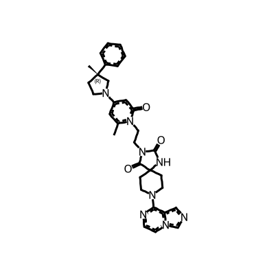 Cc1cc(N2CC[C@](C)(c3ccccc3)C2)cc(=O)n1CCN1C(=O)NC2(CCN(c3nccn4cncc34)CC2)C1=O